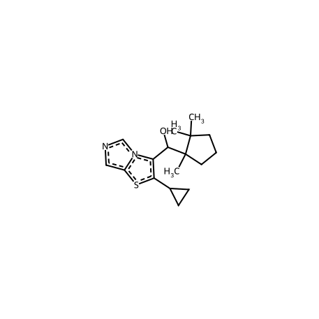 CC1(C)CCCC1(C)C(O)c1c(C2CC2)sc2cncn12